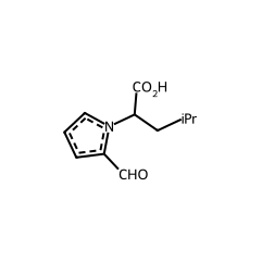 CC(C)CC(C(=O)O)n1cccc1C=O